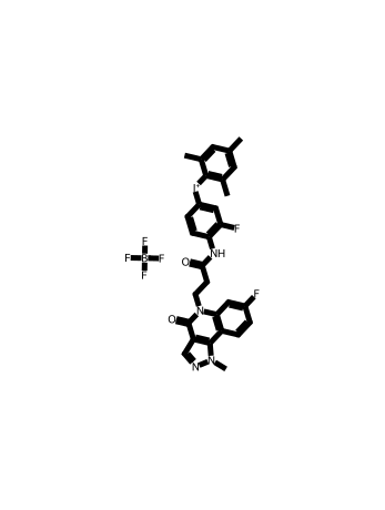 Cc1cc(C)c([I+]c2ccc(NC(=O)CCn3c(=O)c4cnn(C)c4c4ccc(F)cc43)c(F)c2)c(C)c1.F[B-](F)(F)F